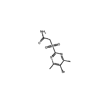 Cc1nc(S(=O)(=O)CC(N)=O)nc(C)c1Br